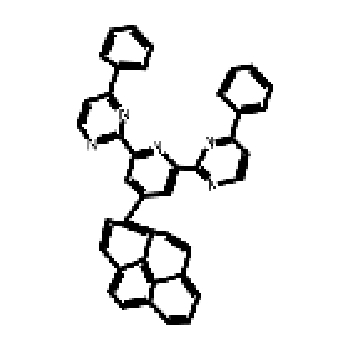 c1ccc(-c2ccnc(-c3cc(-c4ccc5ccc6cccc7ccc4c5c67)cc(-c4nccc(-c5ccccc5)n4)n3)n2)cc1